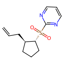 C=CC[C@@H]1CCC[C@H]1S(=O)(=O)c1ncccn1